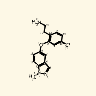 Cn1ncc2cc(Oc3cc(Cl)ccc3CCN)ccc21